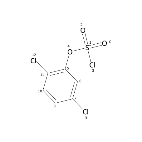 O=S(=O)(Cl)Oc1cc(Cl)ccc1Cl